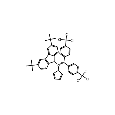 CC(C)(C)c1ccc2c(c1)-c1cc(C(C)(C)C)ccc1[CH]2[Zr](=[C](c1ccc(C(Cl)(Cl)Cl)cc1)c1ccc(C(Cl)(Cl)Cl)cc1)[CH]1C=CC=C1